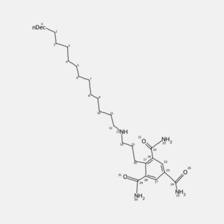 CCCCCCCCCCCCCCCCCCCCCCNCCCc1c(C(N)=O)cc(C(N)=O)cc1C(N)=O